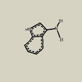 CCN(CC)c1c[nH]c2ccccc12